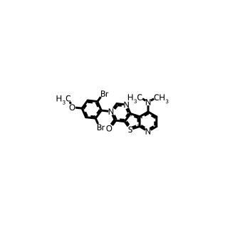 COc1cc(Br)c(-n2cnc3c(sc4nccc(N(C)C)c43)c2=O)c(Br)c1